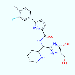 Cc1ccc(-c2ccc(C(=O)NC(c3nc(O)c(CO)[nH]3)C3CCCCN3)[nH]2)cc1F